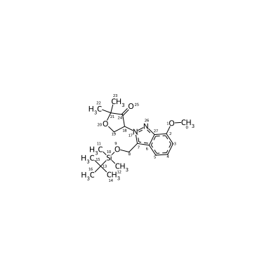 COc1cccc2c(CO[Si](C)(C)C(C)(C)C)n(C3COC(C)(C)C3=O)nc12